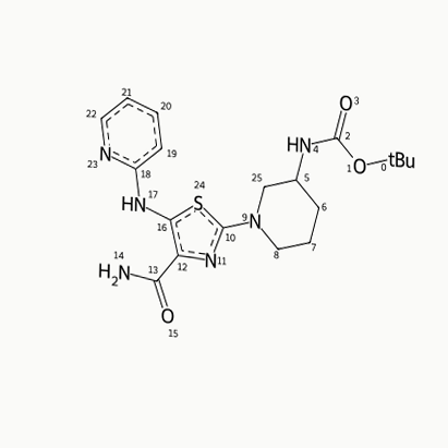 CC(C)(C)OC(=O)NC1CCCN(c2nc(C(N)=O)c(Nc3ccccn3)s2)C1